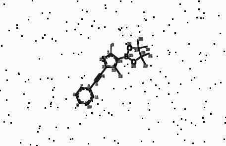 Cc1sc(C#Cc2ccccc2)c(C)c1B1OC(C)(C)C(C)(C)O1